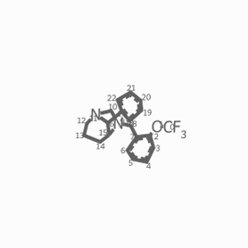 FC(F)(F)Oc1ccccc1CN1CN2CCCC1C2c1ccccc1